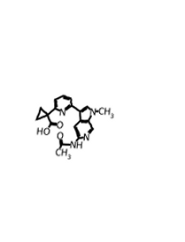 CC(=O)Nc1cc2c(-c3cccc(C4(C(=O)O)CC4)n3)cn(C)c2cn1